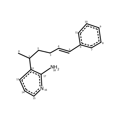 CC(CCC=Cc1ccccc1)c1cccnc1N